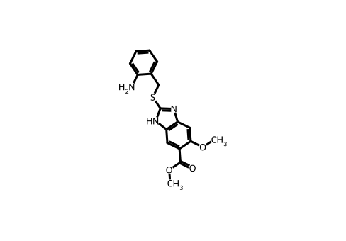 COC(=O)c1cc2[nH]c(SCc3ccccc3N)nc2cc1OC